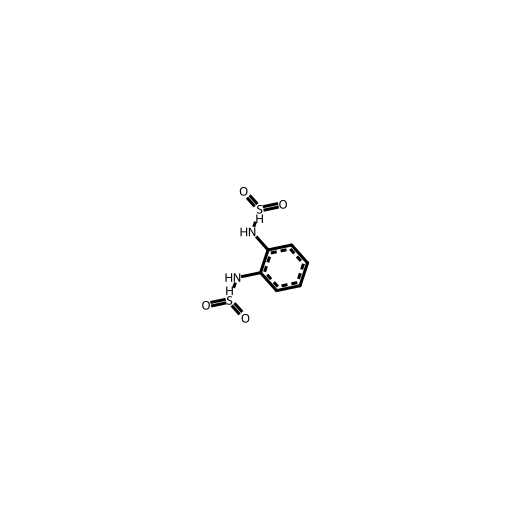 O=[SH](=O)Nc1ccccc1N[SH](=O)=O